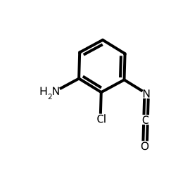 Nc1cccc(N=C=O)c1Cl